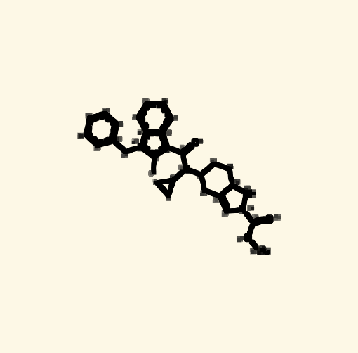 Cc1c(C(=O)N(C2CC2)C2CCC3NN(C(=O)OC(C)(C)C)C=C3C2)c2ccccc2n1Cc1ccccc1